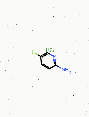 Cl.Nc1ccc(F)cn1